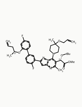 C=CCOC1(C)CCN(c2c([C@H](OC(C)(C)C)C(=O)OC)c(C)nc3cc(-c4cc(-c5ccc(F)cc5O[C@@H](C)CC=C)ccc4F)nn23)CC1